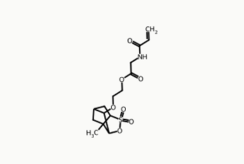 C=CC(=O)NCC(=O)OCCOC1C2CC3C(C)(C2)C1OS3(=O)=O